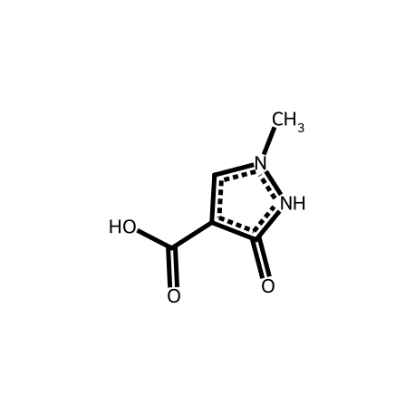 Cn1cc(C(=O)O)c(=O)[nH]1